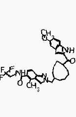 COc1ccc2[nH]c(C(=O)C3CCCCC(Cn4cc5c(C)c(C(=O)NCC(F)(F)F)ccc5n4)CCC3)cc2c1